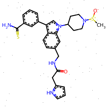 C[S+]([O-])N1CCC(n2cc(-c3cccc(C(N)=S)c3)c3ccc(CNC(=O)Cc4ccc[nH]4)cc32)CC1